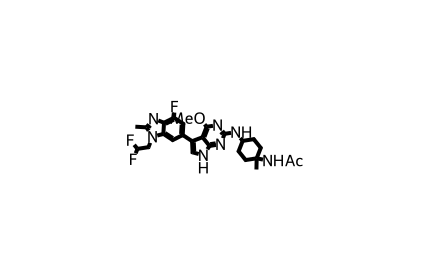 COc1nc(NC2CCC(C)(NC(C)=O)CC2)nc2[nH]cc(-c3cc(F)c4nc(C)n(CC(F)F)c4c3)c12